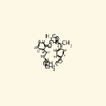 CON=C(C)c1ccc(OC)cc1.CON=CCc1ccccc1OC